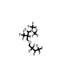 FC(C(F)(F)F)C(F)(F)COCC(F)(C(F)N(C(F)(F)F)C(F)(F)F)C(F)(F)F